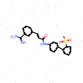 CS(=O)(=O)c1ccccc1-c1ccc(NC(=O)C=Cc2cccc(C(=N)N)c2)cc1